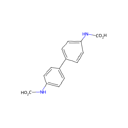 O=C(O)Nc1ccc(-c2ccc(NC(=O)O)cc2)cc1